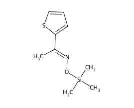 CC(=NO[Si](C)(C)C)c1cccs1